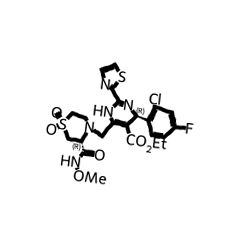 CCOC(=O)C1=C(CN2CCS(=O)(=O)C[C@H]2C(=O)NOC)NC(c2nccs2)=N[C@H]1c1ccc(F)cc1Cl